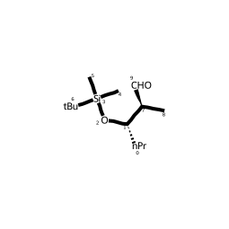 CCC[C@H](O[Si](C)(C)C(C)(C)C)[C@H](C)C=O